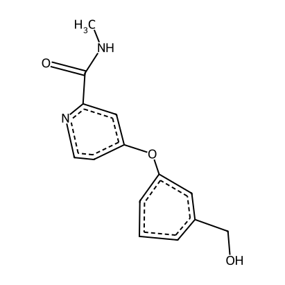 CNC(=O)c1cc(Oc2cccc(CO)c2)ccn1